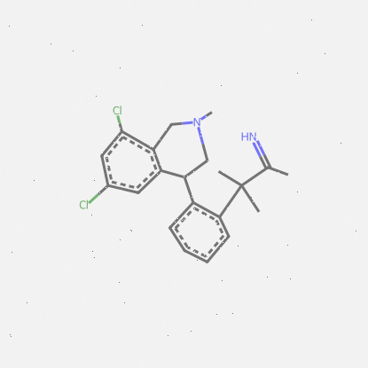 CC(=N)C(C)(C)c1ccccc1C1CN(C)Cc2c(Cl)cc(Cl)cc21